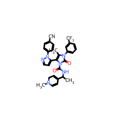 Cc1c(-c2ccnn2-c2ccc(C#N)cc2)n(C(=O)NC(C)C2=CCN(C)C=C2)c(=O)n1-c1cccc(C(F)(F)F)c1